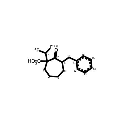 O=C(O)C1(C(F)F)CCCCC(Cc2ccccc2)C1=O